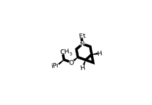 CCN1C[C@@H]2C[C@@H]2[C@@H](O[C@H](C)C(C)C)C1